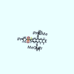 COC(C#Cc1c2cc3ccccc3cc2c(C#CC(OC)(C(C)C)C(C)C)c2cc3sc(S(=O)(=O)c4ccc(C(C)C)cc4)cc3cc12)(C(C)C)C(C)C